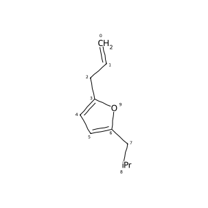 C=CCc1ccc(CC(C)C)o1